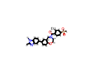 CCc1cc(S(C)(=O)=O)ccc1C(=O)N1CCOc2ccc(-c3ccc4c(c3)nc(C)n4C)cc2C1